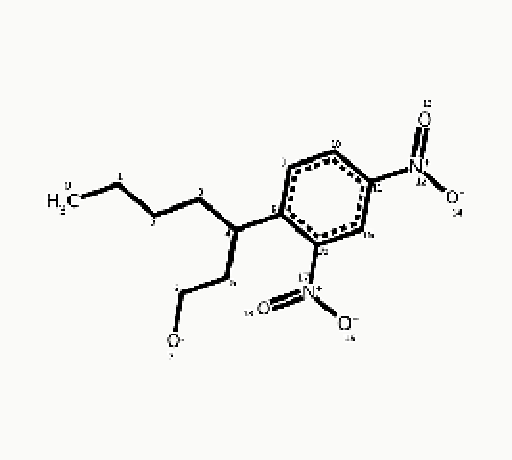 CCCCC(CC[O])c1ccc([N+](=O)[O-])cc1[N+](=O)[O-]